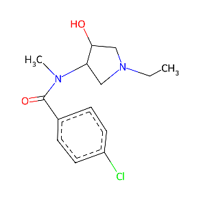 CCN1CC(O)C(N(C)C(=O)c2ccc(Cl)cc2)C1